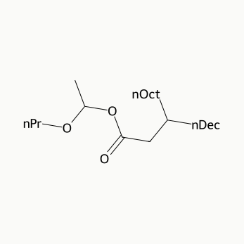 CCCCCCCCCCC(CCCCCCCC)CC(=O)OC(C)OCCC